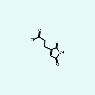 O=C(Cl)CCC1=CC(=O)NC1=O